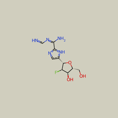 N=C/N=C(/N)c1ncc([C@@H]2O[C@H](CO)[C@@H](O)[C@H]2F)[nH]1